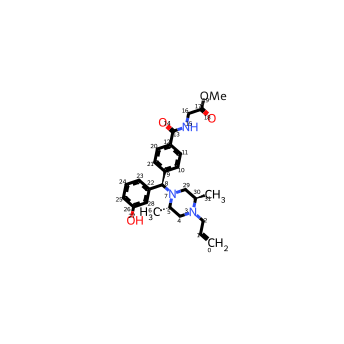 C=CCN1C[C@H](C)N([C@H](c2ccc(C(=O)NCC(=O)OC)cc2)c2cccc(O)c2)C[C@H]1C